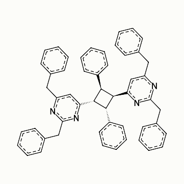 c1ccc(Cc2cc([C@H]3[C@H](c4ccccc4)[C@H](c4cc(Cc5ccccc5)nc(Cc5ccccc5)n4)[C@H]3c3ccccc3)nc(Cc3ccccc3)n2)cc1